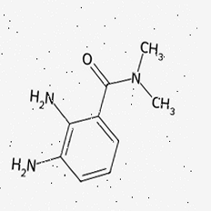 CN(C)C(=O)c1cccc(N)c1N